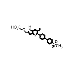 CS(=O)(=O)c1ccc(-c2ccc(-c3nc4cc(COCC(=O)O)[nH]c4cc3F)cc2)cc1